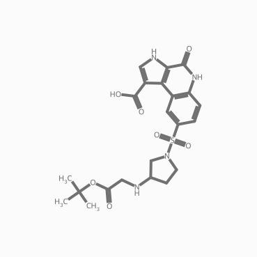 CC(C)(C)OC(=O)CNC1CCN(S(=O)(=O)c2ccc3[nH]c(=O)c4[nH]cc(C(=O)O)c4c3c2)C1